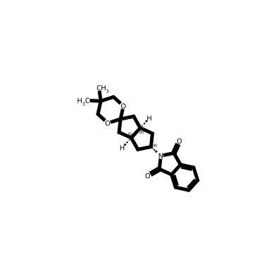 CC1(C)COC2(C[C@H]3C[C@H](N4C(=O)c5ccccc5C4=O)C[C@H]3C2)OC1